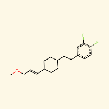 COCC=CC1CCC(CCc2ccc(F)c(F)c2)CC1